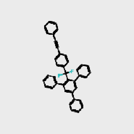 FC(F)(c1ccc(C#Cc2ccccc2)cc1)c1c(-c2ccccc2)cc(-c2ccccc2)cc1-c1ccccc1